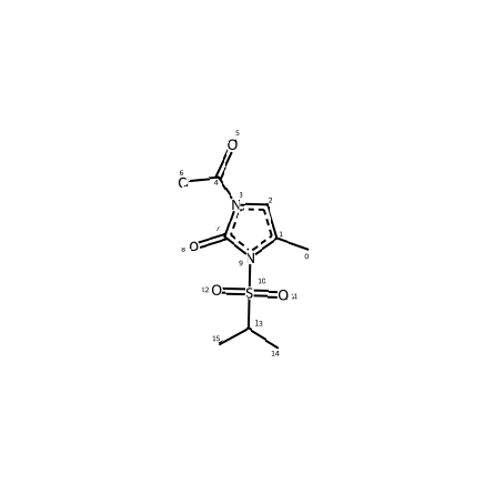 Cc1cn(C(=O)Cl)c(=O)n1S(=O)(=O)C(C)C